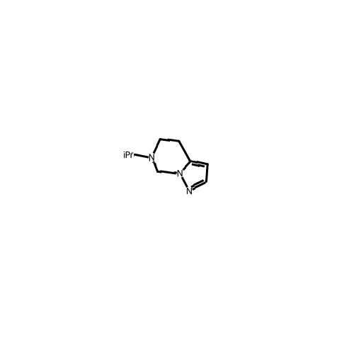 CC(C)N1CCc2ccnn2C1